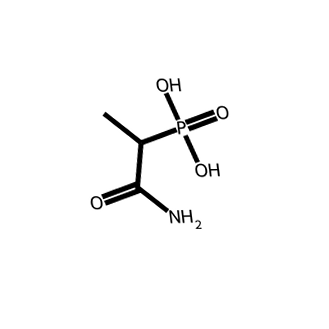 CC(C(N)=O)P(=O)(O)O